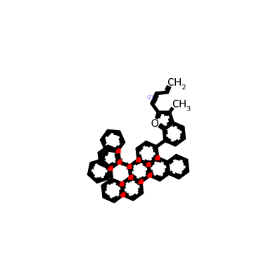 C=C/C=C\c1oc2c(-c3ccc(N(c4ccccc4-c4ccc5ccccc5c4)c4ccccc4-c4ccccc4-c4ccccc4-n4c5ccccc5c5ccccc54)cc3)cccc2c1C